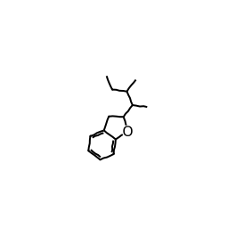 CCC(C)C(C)C1Cc2ccccc2O1